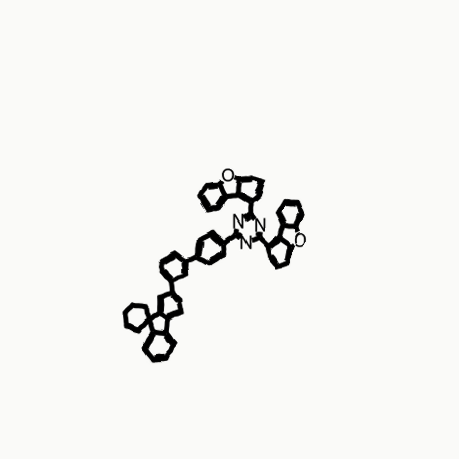 c1cc(-c2ccc(-c3nc(-c4cccc5oc6ccccc6c45)nc(-c4cccc5oc6ccccc6c45)n3)cc2)cc(-c2ccc3c(c2)C2(CCCCC2)c2ccccc2-3)c1